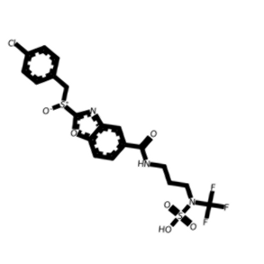 O=C(NCCCN(C(F)(F)F)S(=O)(=O)O)c1ccc2oc([S+]([O-])Cc3ccc(Cl)cc3)nc2c1